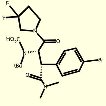 CN(C)C(=O)[C@@H](c1ccc(Br)cc1)[C@@H](C(=O)N1CCC(F)(F)C1)N(C(=O)O)C(C)(C)C